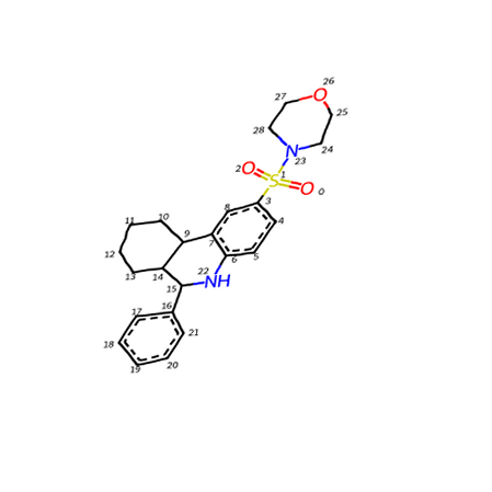 O=S(=O)(c1ccc2c(c1)C1CCCCC1C(c1ccccc1)N2)N1CCOCC1